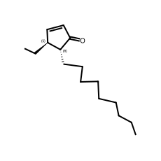 CCCCCCCCC[C@H]1C(=O)C=C[C@@H]1CC